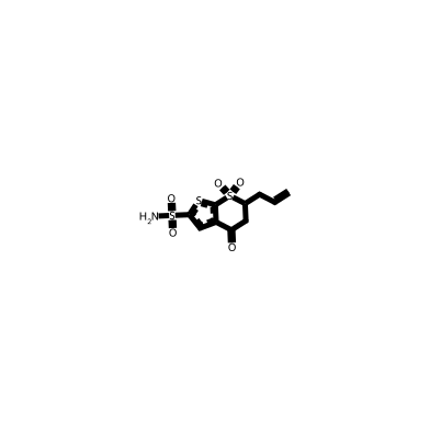 C=CCC1CC(=O)c2cc(S(N)(=O)=O)sc2S1(=O)=O